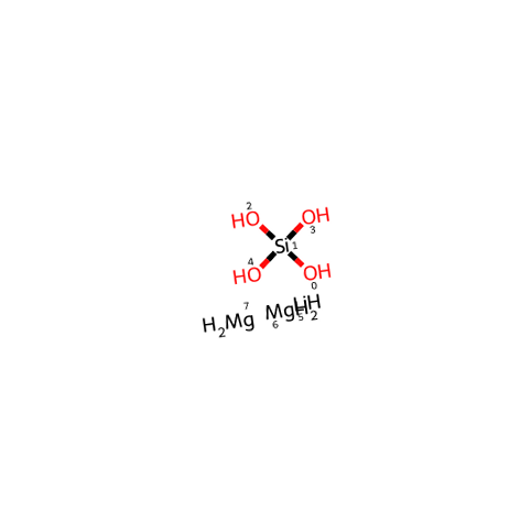 O[Si](O)(O)O.[LiH].[MgH2].[MgH2]